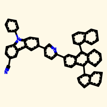 N#Cc1ccc2c(c1)c1cc(-c3ccc(-c4ccc5c(-c6cccc7ccccc67)c6ccccc6c(-c6cccc7ccccc67)c5c4)nc3)ccc1n2-c1ccccc1